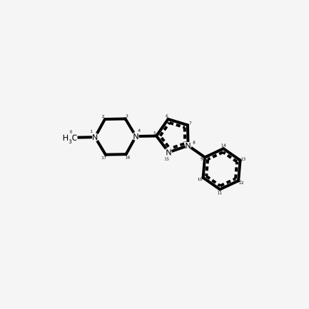 CN1CCN(c2ccn(-c3cc[c]cc3)n2)CC1